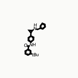 CC(C)(C)c1cccc(C(=O)Nc2ccc(C3CC3NCc3ccccc3)cc2)c1